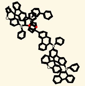 c1ccc(-c2cccc(N(c3ccccc3)c3ccc4c(c3)-c3ccccc3C43c4ccccc4Oc4ccc(N(c5ccccc5)c5cc6ccccc6c6cc(-c7ccc8cc(N(c9ccccc9)c9ccc%10c(c9)-c9ccc(N(c%11ccccc%11)c%11cc%12ccccc%12c%12ccccc%11%12)cc9C%109c%10ccccc%10Oc%10ccccc%109)c9ccccc9c8c7)ccc56)cc43)c2)cc1